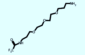 NCCCOCCOCCOCCCNC(=O)C(F)(F)F